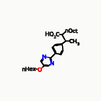 CCCCCCCCC(C(=O)O)C(C)c1ccc(-c2ncc(OCCCCCC)cn2)cc1